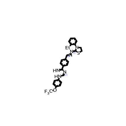 CCc1ccccc1N1CCS/C1=N\N=C\c1ccc(C(=N)/N=C\Nc2ccc(OC(F)(F)F)cc2)cc1